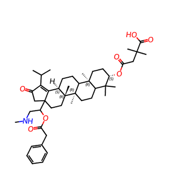 CNCC(OC(=O)Cc1ccccc1)C12CC[C@]3(C)[C@H](CCC4[C@@]5(C)CC[C@H](OC(=O)CC(C)(C)C(=O)O)C(C)(C)C5CC[C@]43C)C1=C(C(C)C)C(=O)C2